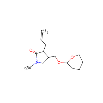 C=CCC1C(=O)N(CCCC)CC1COC1CCCCO1